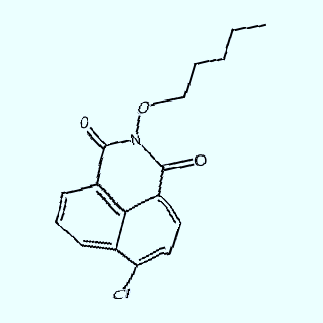 CCCCCON1C(=O)c2cccc3c(Cl)ccc(c23)C1=O